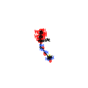 CC(=O)N[C@H]1[C@H](OCCCNCc2cccc(C(=O)NCCNC(=O)CCCC[C@@H]3SC[C@@H]4NC(=O)N[C@@H]43)c2)O[C@H](CO)[C@@H](O[C@@H]2O[C@H](CO)[C@H](O)[C@H](O[C@H]3O[C@H](CO)[C@H](O)[C@H](O)[C@H]3O)[C@H]2O)[C@@H]1O